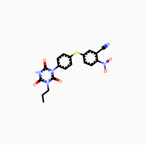 CCCn1c(=O)[nH]c(=O)n(-c2ccc(Sc3ccc([N+](=O)[O-])c(C#N)c3)cc2)c1=O